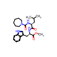 COC(=O)[C@@H](Cc1c[nH]c2ccccc12)NC(=O)[C@H](CC(C)C)NC(=O)N1CCCCCC1